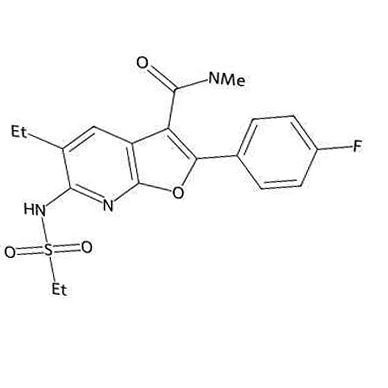 CCc1cc2c(C(=O)NC)c(-c3ccc(F)cc3)oc2nc1NS(=O)(=O)CC